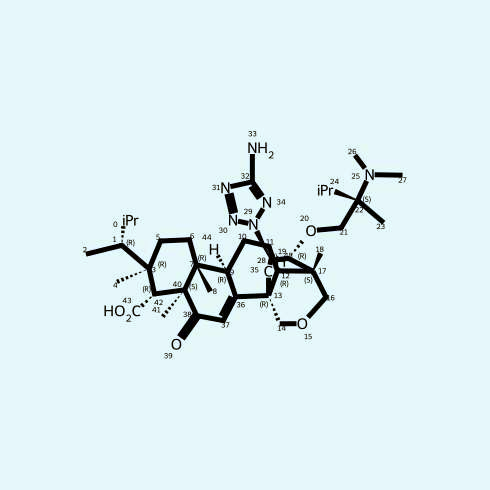 CC(C)[C@@H](C)[C@@]1(C)CC[C@]2(C)[C@H]3CC[C@@H]4[C@@]5(COC[C@@]4(C)[C@@H](OC[C@](C)(C(C)C)N(C)C)[C@H](n4nnc(N)n4)C5)C3=CC(=O)[C@@]2(C)[C@@H]1C(=O)O